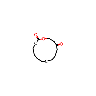 O=C1CCCCCCCCCC(=O)OCC1